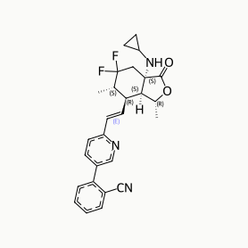 C[C@H]1OC(=O)[C@]2(NC3CC3)CC(F)(F)[C@@H](C)[C@H](/C=C/c3ccc(-c4ccccc4C#N)cn3)[C@H]12